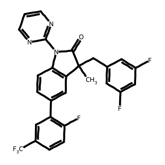 CC1(Cc2cc(F)cc(F)c2)C(=O)N(c2ncccn2)c2ccc(-c3cc(C(F)(F)F)ccc3F)cc21